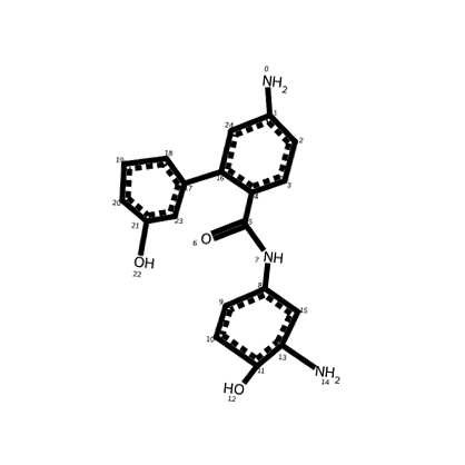 Nc1ccc(C(=O)Nc2ccc(O)c(N)c2)c(-c2cccc(O)c2)c1